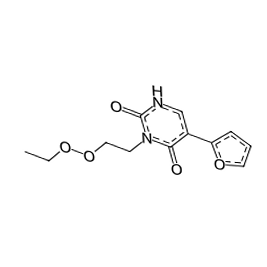 CCOOCCn1c(=O)[nH]cc(-c2ccco2)c1=O